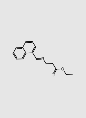 CCOC(=O)CCN=Cc1cccc2ccccc12